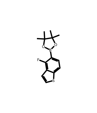 CC1(C)OB(c2ccc3sccc3c2F)OC1(C)C